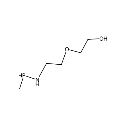 CPNCCOCCO